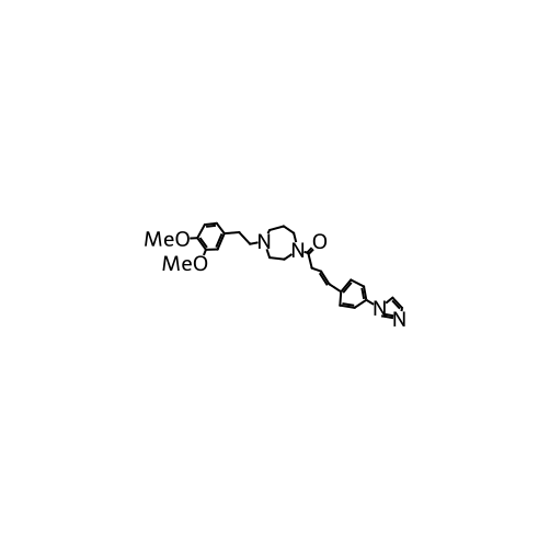 COc1ccc(CCN2CCCN(C(=O)CC=Cc3ccc(-n4ccnc4)cc3)CC2)cc1OC